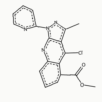 COC(=O)c1cccc2nc3c(c(C)nn3-c3ccccn3)c(Cl)c12